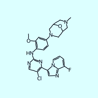 COc1cc(N2CC3CN(C)CC(C2)O3)ccc1Nc1ncc(Cl)c(-c2cnc3c(F)cccn23)n1